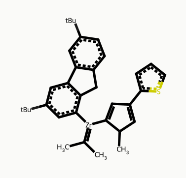 C[C](C)=[Zr]([C]1=CC(c2cccs2)=CC1C)[c]1cc(C(C)(C)C)cc2c1Cc1ccc(C(C)(C)C)cc1-2